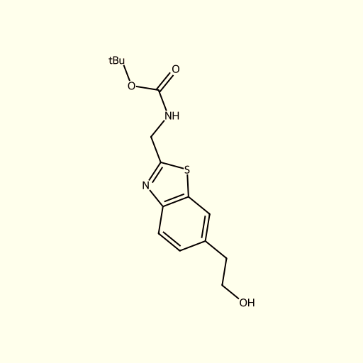 CC(C)(C)OC(=O)NCc1nc2ccc(CCO)cc2s1